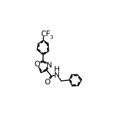 O=C(NCc1ccccc1)c1coc(-c2ccc(C(F)(F)F)cc2)n1